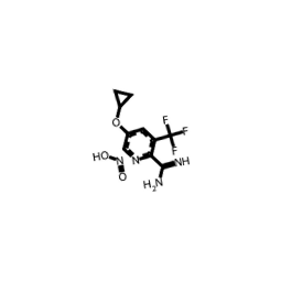 N=C(N)c1ncc(OC2CC2)cc1C(F)(F)F.O=NO